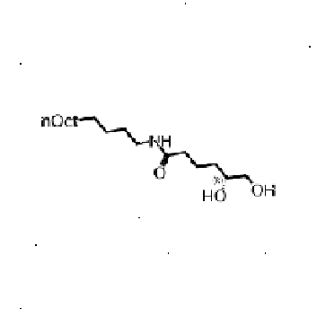 CCCCCCCCCCCCNC(=O)CCC[C@@H](O)CO